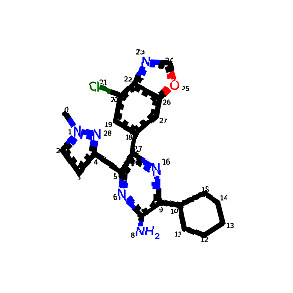 Cn1ccc(-c2nc(N)c(C3CCCCC3)nc2-c2cc(Cl)c3ncoc3c2)n1